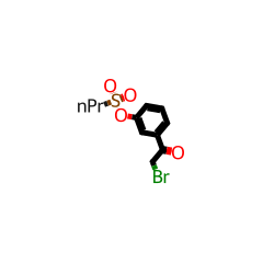 CCCS(=O)(=O)Oc1cccc(C(=O)CBr)c1